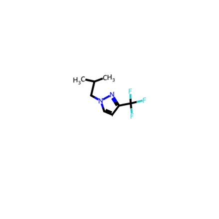 CC(C)Cn1c[c]c(C(F)(F)F)n1